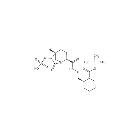 CC(C)(C)OC(=O)N1CCCC[C@H]1CONC(=O)[C@@H]1CC[C@@H]2CN1C(=O)N2OS(=O)(=O)O